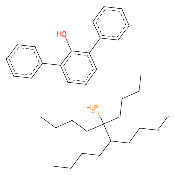 CCCCC(CCCC)C(P)(CCCC)CCCC.Oc1c(-c2ccccc2)cccc1-c1ccccc1